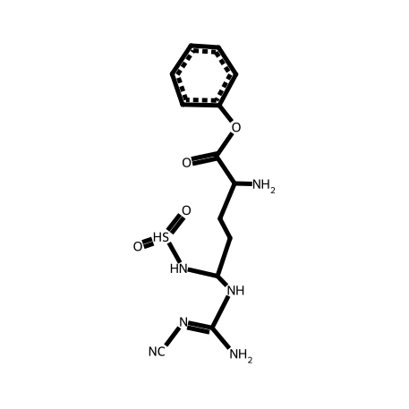 N#CN=C(N)NC(CCC(N)C(=O)Oc1ccccc1)N[SH](=O)=O